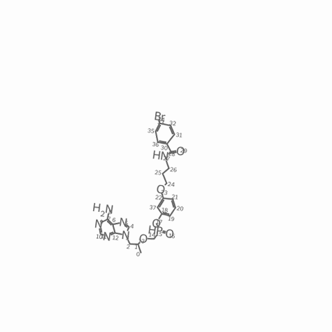 CC(Cn1cnc2c(N)ncnc21)OC[PH](=O)Oc1cccc(OCCCNC(=O)c2ccc(Br)cc2)c1